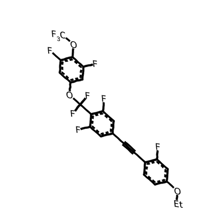 CCOc1ccc(C#Cc2cc(F)c(C(F)(F)Oc3cc(F)c(OC(F)(F)F)c(F)c3)c(F)c2)c(F)c1